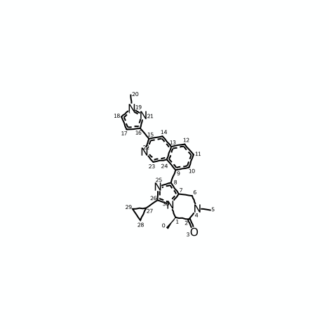 C[C@@H]1C(=O)N(C)Cc2c(-c3cccc4cc(-c5ccn(C)n5)ncc34)nc(C3CC3)n21